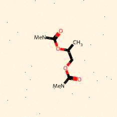 CNC(=O)OCC(C)OC(=O)NC